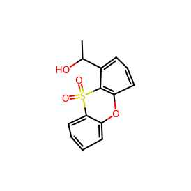 CC(O)c1cccc2c1S(=O)(=O)c1ccccc1O2